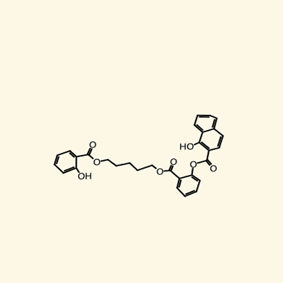 O=C(OCCCCCOC(=O)c1ccccc1OC(=O)c1ccc2ccccc2c1O)c1ccccc1O